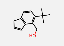 CC(C)(C)c1ccc2c(c1CO)C=CC2